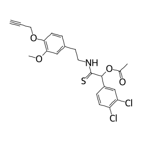 C#CCOc1ccc(CCNC(=S)C(OC(C)=O)c2ccc(Cl)c(Cl)c2)cc1OC